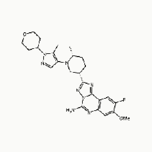 COc1cc2nc(N)n3nc([C@H]4CC[C@@H](C)N(c5cnn(C6CCOCC6)c5C)C4)nc3c2cc1F